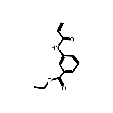 C=CC(=O)Nc1cccc(C(=O)OCC)c1